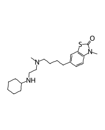 CN(CCCCc1ccc2c(c1)sc(=O)n2C)CCNC1CCCCC1